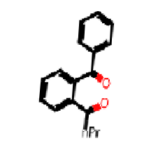 CCCC(=O)c1ccccc1C(=O)c1ccccc1